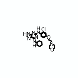 Clc1cc(OCCN2CCOCC2)ccc1Nc1nc(NC2CCCCC2)c2nc[nH]c2n1